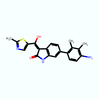 Cc1ncc(C(O)=C2C(=O)Nc3cc(-c4ccc(N)c(C)c4C)ccc32)s1